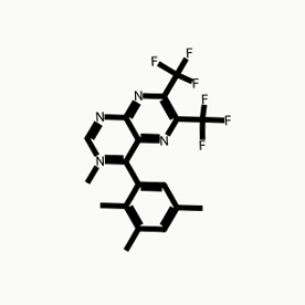 Cc1cc(C)c(C)c(-c2c3nc(C(F)(F)F)c(C(F)(F)F)nc3nc[n+]2C)c1